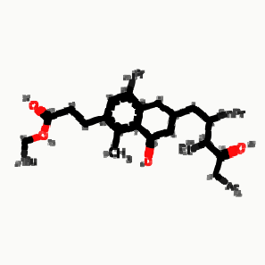 CCCC(CC1CC(=O)c2c(C)c(CCC(=O)OCC(C)(C)C)cc(C(C)C)c2C1)C(CC)C(=O)CC(C)=O